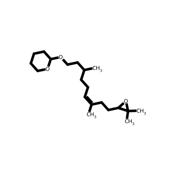 CC(=CCCC(C)CCOC1CCCCO1)CCC1OC1(C)C